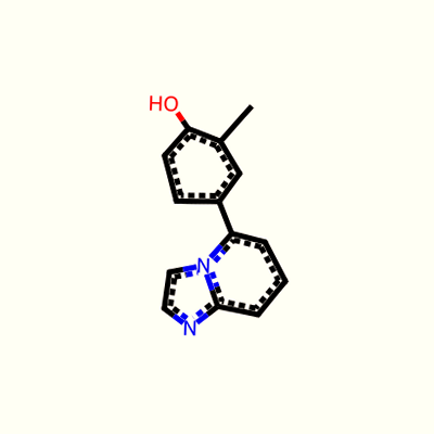 Cc1cc(-c2cccc3nccn23)ccc1O